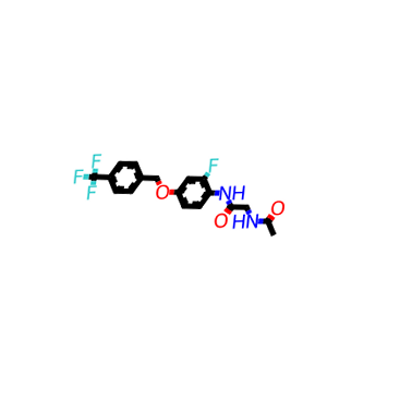 CC(=O)NCC(=O)Nc1ccc(OCc2ccc(C(F)(F)F)cc2)cc1F